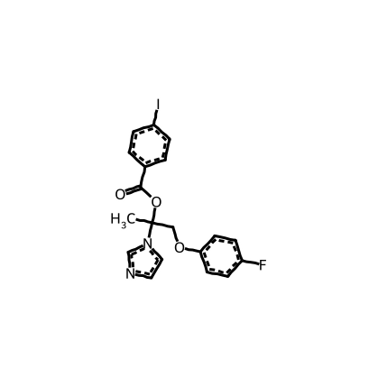 CC(COc1ccc(F)cc1)(OC(=O)c1ccc(I)cc1)n1ccnc1